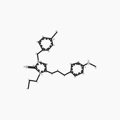 CCCn1c(CCCc2ccc(OC)cc2)cn(Cc2ccc(C)cc2)c1=O